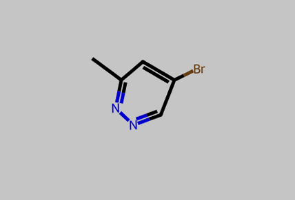 Cc1cc(Br)cnn1